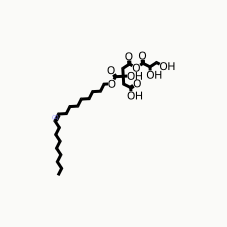 CCCCCCCC/C=C\CCCCCCCCOC(=O)C(O)(CC(=O)O)CC(=O)OC(=O)C(O)CO